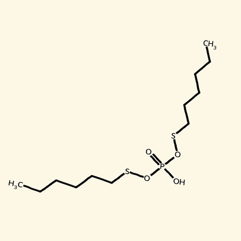 CCCCCCSOP(=O)(O)OSCCCCCC